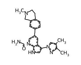 Cc1cn(-c2c[nH]c3ncc(-c4ccc5c(c4)CN(C)CC5)cc23)nc1C.NC=O